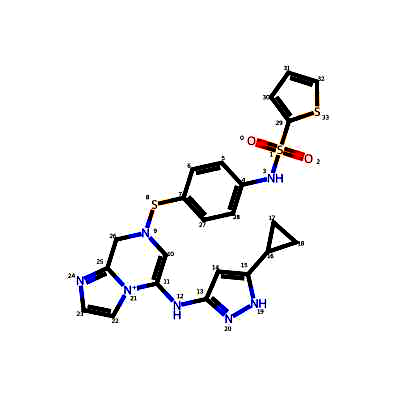 O=S(=O)(Nc1ccc(SN2C=C(Nc3cc(C4CC4)[nH]n3)[N+]3C=CN=C3C2)cc1)c1cccs1